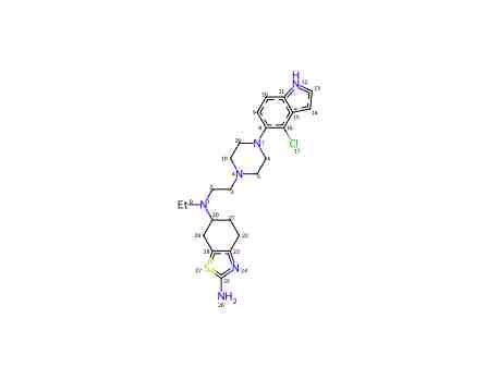 CCN(CCN1CCN(c2ccc3[nH]ccc3c2Cl)CC1)C1CCc2nc(N)sc2C1